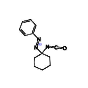 O=C=NC1(/N=N/c2ccccc2)CCCCC1